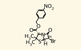 CC1(C)S[C@@H]2[C@H](Br)C(=O)N2[C@H]1C(=O)OCc1ccc([N+](=O)[O-])cc1